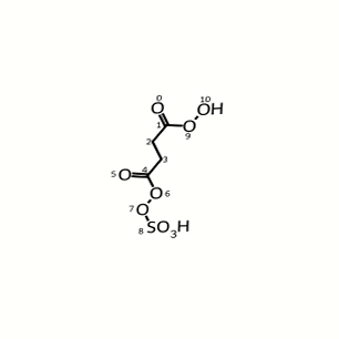 O=C(CCC(=O)OOS(=O)(=O)O)OO